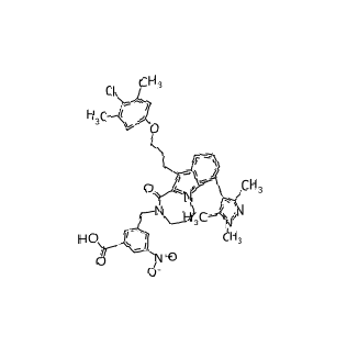 Cc1cc(OCCCc2c3n(c4c(-c5c(C)nn(C)c5C)cccc24)CCCN(Cc2cc(C(=O)O)cc([N+](=O)[O-])c2)C3=O)cc(C)c1Cl